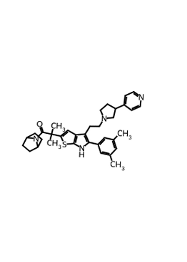 Cc1cc(C)cc(-c2[nH]c3sc(C(C)(C)C(=O)N4C5CCC4CC5)cc3c2CCN2CCC(c3ccncc3)C2)c1